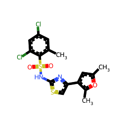 Cc1cc(-c2csc(NS(=O)(=O)c3c(C)cc(Cl)cc3Cl)n2)c(C)o1